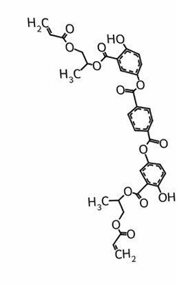 C=CC(=O)OCC(C)OC(=O)c1cc(OC(=O)c2ccc(C(=O)Oc3ccc(O)c(C(=O)OC(C)COC(=O)C=C)c3)cc2)ccc1O